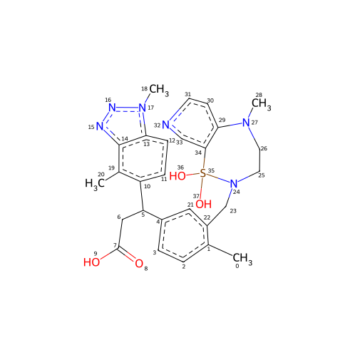 Cc1ccc(C(CC(=O)O)c2ccc3c(nnn3C)c2C)cc1CN1CCN(C)c2ccncc2S1(O)O